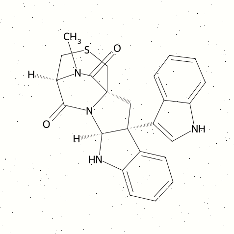 CN1C(=O)[C@@]23CSC[C@@H]1C(=O)N2[C@@H]1Nc2ccccc2[C@]1(c1c[nH]c2ccccc12)C3